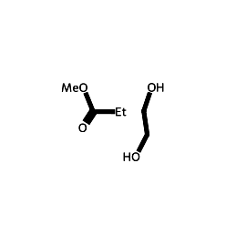 CCC(=O)OC.OCCO